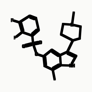 Cc1cc(OS(=O)(=O)c2cccc(F)c2F)cc2c(C3CCN(C)CC3)c[nH]c12